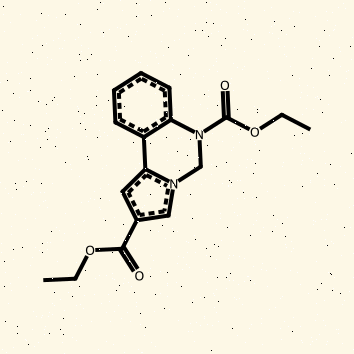 CCOC(=O)c1cc2n(c1)CN(C(=O)OCC)c1ccccc1-2